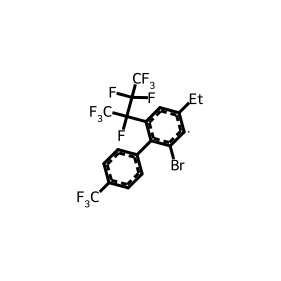 CCc1[c]c(Br)c(-c2ccc(C(F)(F)F)cc2)c(C(F)(C(F)(F)F)C(F)(F)C(F)(F)F)c1